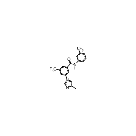 Cc1cn(-c2cc(C(=O)Nc3cccc(C(F)(F)F)c3)cc(C(F)(F)F)c2)cn1